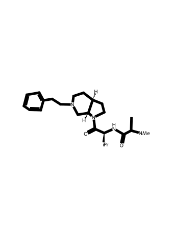 CNC(C)C(=O)N[C@H](C(=O)N1CC[C@@H]2CCN(CCc3ccccc3)C[C@@H]21)C(C)C